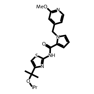 COc1cc(Cn2cccc2C(=O)Nc2nc(C(C)(C)OC(C)C)cs2)ccn1